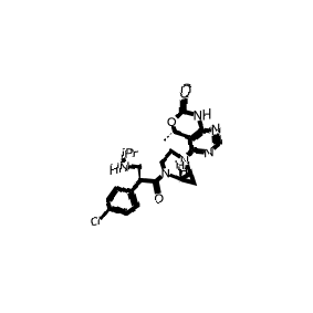 CC(C)NC[C@@H](C(=O)N1CCN(c2ncnc3c2[C@H](C)OC(=O)N3)[C@@H]2C[C@@H]21)c1ccc(Cl)cc1